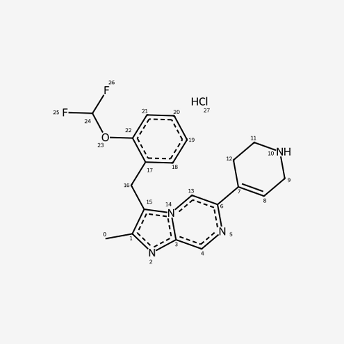 Cc1nc2cnc(C3=CCNCC3)cn2c1Cc1ccccc1OC(F)F.Cl